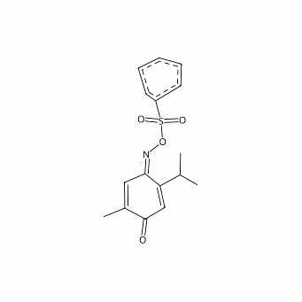 CC1=C/C(=N/OS(=O)(=O)c2ccccc2)C(C(C)C)=CC1=O